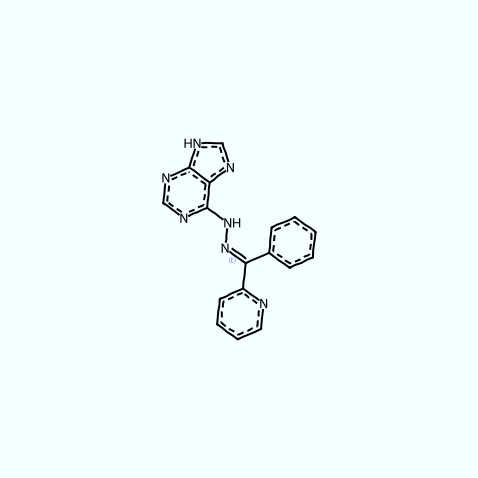 c1ccc(/C(=N\Nc2ncnc3[nH]cnc23)c2ccccn2)cc1